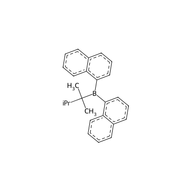 CC(C)C(C)(C)B(c1cccc2ccccc12)c1cccc2ccccc12